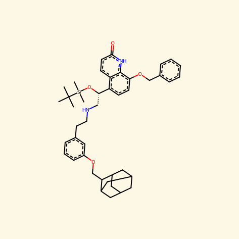 CC(C)(C)[Si](C)(C)O[C@@H](CNCCc1cccc(OCC2C3CC4CC(C3)CC2C4)c1)c1ccc(OCc2ccccc2)c2[nH]c(=O)ccc12